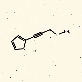 Cl.NOCC#Cc1cccs1